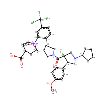 COC[C@H]1CN(C(=O)[C@]2(F)CN(C3CCCC3)C[C@H]2c2ccc(OC)cc2)C[C@H]1c1ccc(C(F)(F)F)cc1N1CCC(C(=O)O)CC1